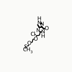 CSCOCCO[C@@H](Cl)Cc1nc2c[nH]nc2c(=O)[nH]1